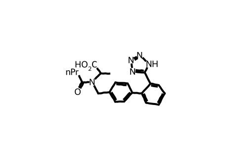 CCCC(=O)N(Cc1ccc(-c2ccccc2-c2nnn[nH]2)cc1)C(C)C(=O)O